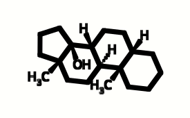 C[C@]12CCCC[C@H]1CC[C@@H]1[C@@H]2CC[C@]2(C)CCC[C@]12O